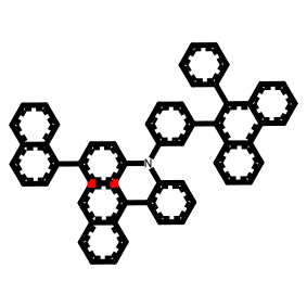 c1ccc(-c2c(-c3cccc(N(c4ccc(-c5cccc6ccccc56)cc4)c4ccccc4-c4cccc5ccccc45)c3)c3ccccc3c3ccccc23)cc1